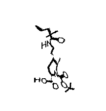 C=CCC(C)(C)C(=O)NCC[C@H]1C[C@@H](C(=O)O)N(C(=O)OC(C)(C)C)[C@@H]1C